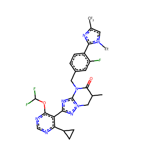 CCn1cc(C(F)(F)F)nc1-c1ccc(CN2C(=O)C(C)Cn3nc(-c4c(OC(F)F)ncnc4C4CC4)nc32)cc1F